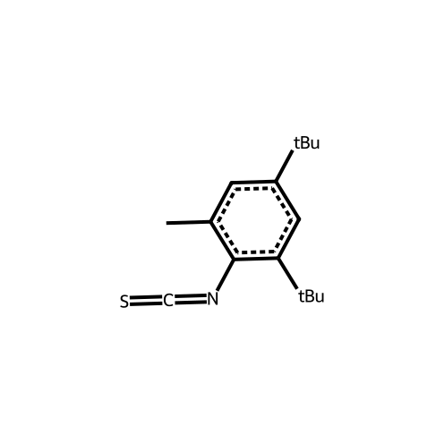 Cc1cc(C(C)(C)C)cc(C(C)(C)C)c1N=C=S